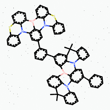 CC1(C)c2ccccc2N2c3cc(-c4ccccc4)cc4c3B(c3cccc1c32)c1cc(-c2cccc(-c3cc5c6c(c3)N3c7ccccc7Sc7cccc(c73)B6c3cccc6c3N5c3ccccc3S6)c2)cc2c1N4c1ccccc1C2(C)C